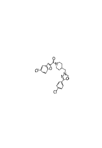 O=C(c1cc2cc(Cl)ccc2o1)N1CCC(CN2COC(c3ccc(Cl)cc3)=N2)CC1